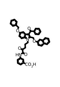 O=C(CCCn1c(COc2ccc3ccccc3c2)c(C(=O)c2ccccc2)c2cc(OCc3ccccc3)ccc21)C(=O)Nc1cccc(C(=O)O)c1